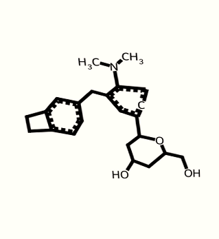 CN(C)c1ccc(C2CC(O)CC(CO)O2)cc1Cc1ccc2c(c1)CC2